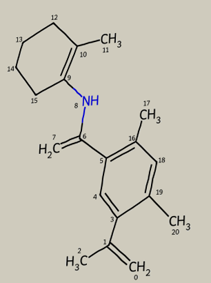 C=C(C)c1cc(C(=C)NC2=C(C)CCCC2)c(C)cc1C